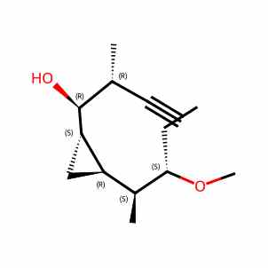 C#C[C@@H](C)[C@H](O)[C@H]1C[C@@H]1[C@H](C)[C@H](CC)OC